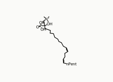 CCCCC/C=C\CC/C=C\CCCCCCCCCC(O)(C[N+](C)(C)C)P(=O)(O)O